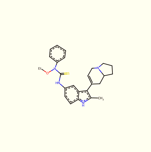 CCON(C(=S)Nc1ccc2[nH]c(C)c(C3=CCN4CCCC4C3)c2c1)c1ccccc1